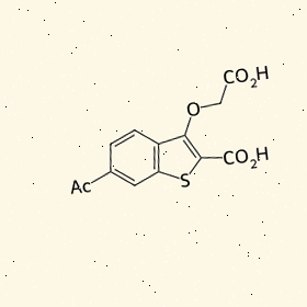 CC(=O)c1ccc2c(OCC(=O)O)c(C(=O)O)sc2c1